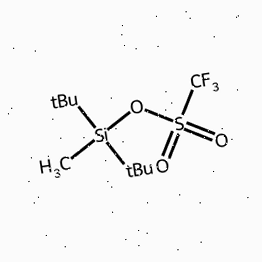 CC(C)(C)[Si](C)(OS(=O)(=O)C(F)(F)F)C(C)(C)C